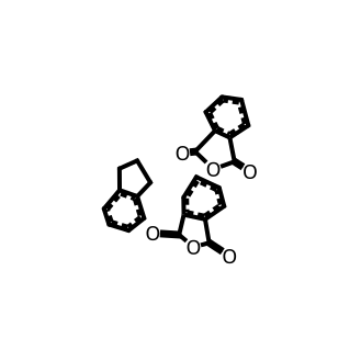 O=C1OC(=O)c2ccccc21.O=C1OC(=O)c2ccccc21.c1ccc2c(c1)CCC2